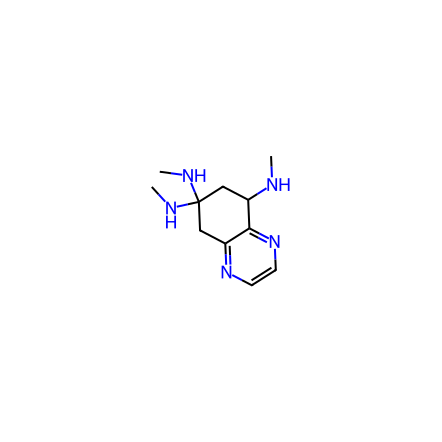 CNC1CC(NC)(NC)Cc2nccnc21